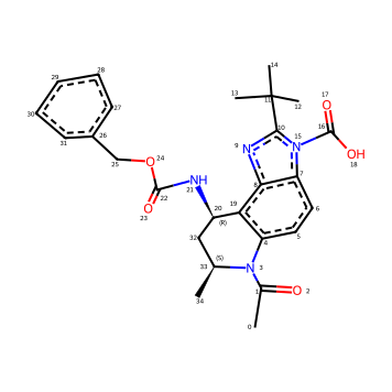 CC(=O)N1c2ccc3c(nc(C(C)(C)C)n3C(=O)O)c2[C@H](NC(=O)OCc2ccccc2)C[C@@H]1C